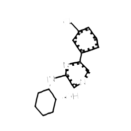 O[C@@H]1CCCC[C@@H]1Nc1cncc(-c2cccc(Cl)c2)n1